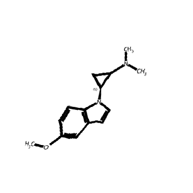 COc1ccc2c(ccn2[C@H]2CC2N(C)C)c1